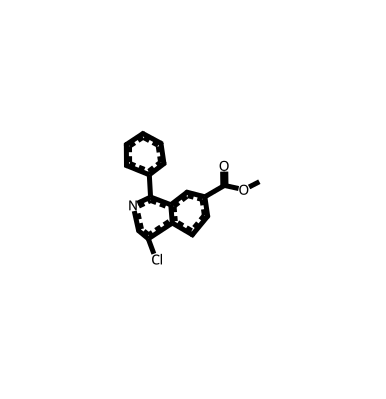 COC(=O)c1ccc2c(Cl)cnc(-c3ccccc3)c2c1